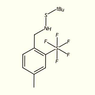 Cc1ccc(CNSC(C)(C)C)c(S(F)(F)(F)(F)F)c1